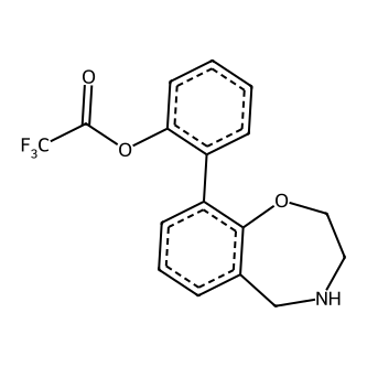 O=C(Oc1ccccc1-c1cccc2c1OCCNC2)C(F)(F)F